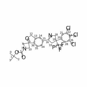 CC(C)(C)OC(=O)N1CC2(C1)OCc1cc(C3=NCC(c4cc(Cl)c(Cl)c(Cl)c4)(C(F)(F)F)C3)ccc12